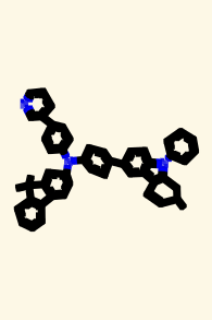 CC1C=Cc2c(n(-c3ccccc3)c3ccc(-c4ccc(N(c5ccc(-c6cccnc6)cc5)c5ccc6c(c5)C(C)(C)c5ccccc5-6)cc4)cc23)C1